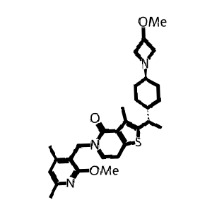 COc1nc(C)cc(C)c1CN1CCc2sc(C(C)[C@H]3CC[C@H](N4CC(OC)C4)CC3)c(C)c2C1=O